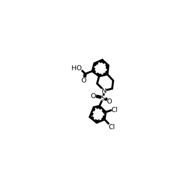 O=C(O)c1cccc2c1CN(S(=O)(=O)c1cccc(Cl)c1Cl)CC2